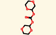 O=C(OC1COCCO1)OC1COCCO1